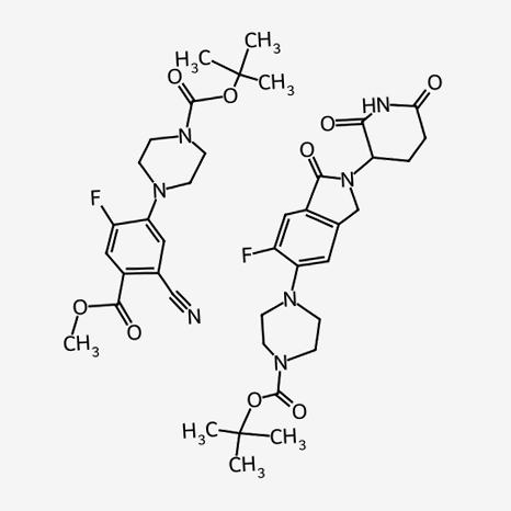 CC(C)(C)OC(=O)N1CCN(c2cc3c(cc2F)C(=O)N(C2CCC(=O)NC2=O)C3)CC1.COC(=O)c1cc(F)c(N2CCN(C(=O)OC(C)(C)C)CC2)cc1C#N